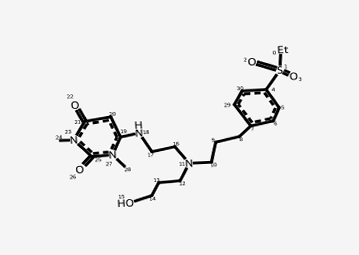 CCS(=O)(=O)c1ccc(CCCN(CCCO)CCNc2cc(=O)n(C)c(=O)n2C)cc1